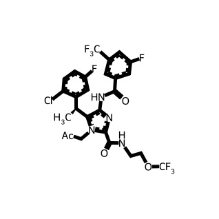 CC(=O)Cn1c(C(=O)NCCOC(F)(F)F)nc(NC(=O)c2cc(F)cc(C(F)(F)F)c2)c1[C@@H](C)c1cc(F)ccc1Cl